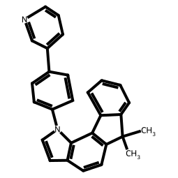 CC1(C)c2ccccc2-c2c1ccc1ccn(-c3ccc(-c4cccnc4)cc3)c21